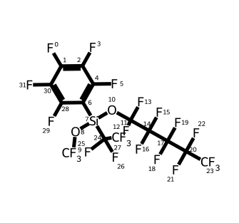 Fc1c(F)c(F)c([Si](OC(F)(F)F)(OC(F)(F)C(F)(F)C(F)(F)C(F)(F)C(F)(F)F)C(F)(F)C(F)(F)F)c(F)c1F